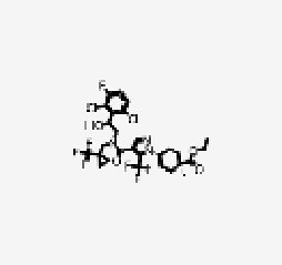 CCOC(=O)[C@]1(C)CC[C@@H](n2ncc(C(=O)N(CC(O)c3c(Cl)ccc(F)c3Cl)CC3(C(F)(F)F)CC3)c2C(F)(F)F)CC1